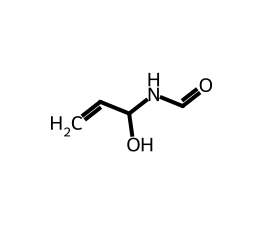 C=CC(O)NC=O